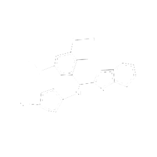 CCOc1cc(OC(C)C)c(F)c(C(Nc2ccc(C#N)cc2)c2nc3ccccc3s2)c1